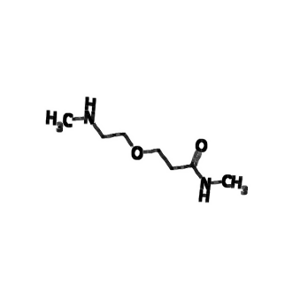 CNCCOCCC(=O)NC